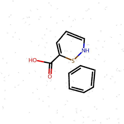 O=C(O)C1=CC=CNS1.c1ccccc1